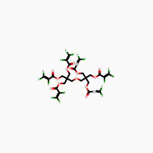 O=[C](OCC(COCC(COC(=O)C(F)=C(F)F)(COC(=O)C(F)=C(F)F)COC(=O)C(F)=C(F)F)(CO[C](=O)[Cf]=[C](F)F)COC(=O)C(F)=C(F)F)[Cf]=[C](F)F